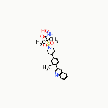 Cc1cc(C2=CCN(S(=O)(=O)C(C)(C)C(=O)NO)CC2)ccc1-c1cnc2ccccc2c1